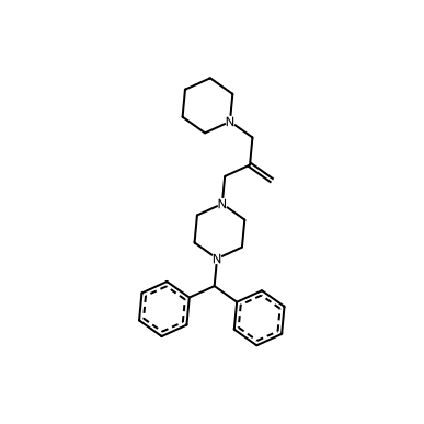 C=C(CN1CCCCC1)CN1CCN(C(c2ccccc2)c2ccccc2)CC1